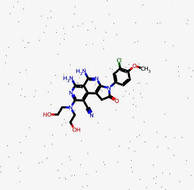 COc1ccc(N2C(=O)Cc3c2nc(N)c2c(N)nc(N(CCO)CCO)c(C#N)c32)cc1Cl